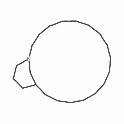 C1CCCCCCCCN2CCCC(CCCCCCC1)C2